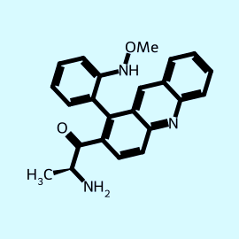 CONc1ccccc1-c1c(C(=O)[C@H](C)N)ccc2nc3ccccc3cc12